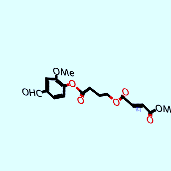 COC(=O)/C=C/C(=O)OCCCC(=O)Oc1ccc(C=O)cc1OC